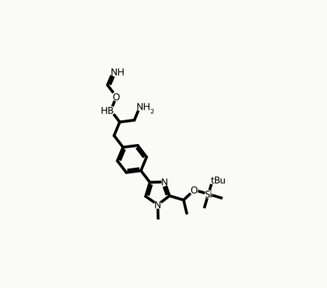 CC(O[Si](C)(C)C(C)(C)C)c1nc(-c2ccc(CC(BOC=N)CN)cc2)cn1C